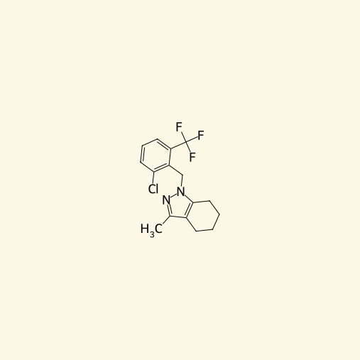 Cc1nn(Cc2c(Cl)cccc2C(F)(F)F)c2c1CCCC2